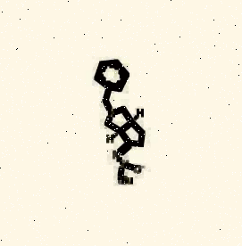 CC(C)(C)[S+]([O-])/N=C1\CC[C@@H]2CN(Cc3ccccc3)C[C@H]12